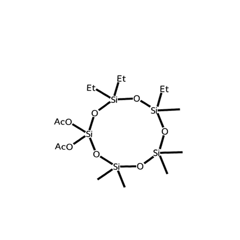 CC[Si]1(C)O[Si](C)(C)O[Si](C)(C)O[Si](OC(C)=O)(OC(C)=O)O[Si](CC)(CC)O1